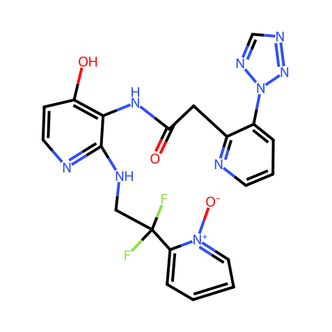 O=C(Cc1ncccc1-n1ncnn1)Nc1c(O)ccnc1NCC(F)(F)c1cccc[n+]1[O-]